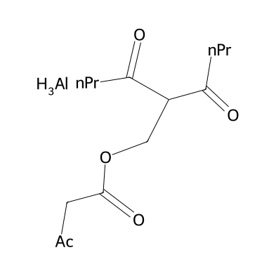 CCCC(=O)C(COC(=O)CC(C)=O)C(=O)CCC.[AlH3]